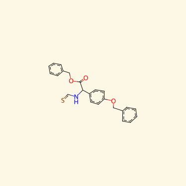 O=C(OCc1ccccc1)C(NC=S)c1ccc(OCc2ccccc2)cc1